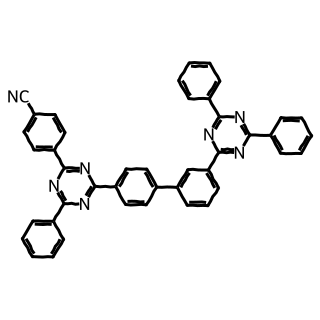 N#Cc1ccc(-c2nc(-c3ccccc3)nc(-c3ccc(-c4cccc(-c5nc(-c6ccccc6)nc(-c6ccccc6)n5)c4)cc3)n2)cc1